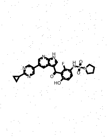 O=C(c1c(O)ccc(NS(=O)(=O)N2CCCC2)c1F)c1c[nH]c2ncc(-c3cnc(C4CC4)nc3)cc12